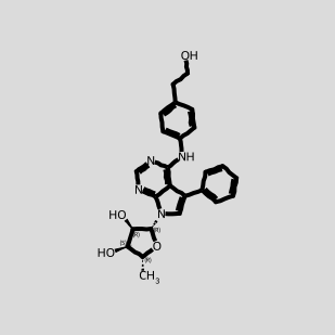 C[C@H]1O[C@@H](n2cc(-c3ccccc3)c3c(Nc4ccc(CCO)cc4)ncnc32)[C@H](O)[C@@H]1O